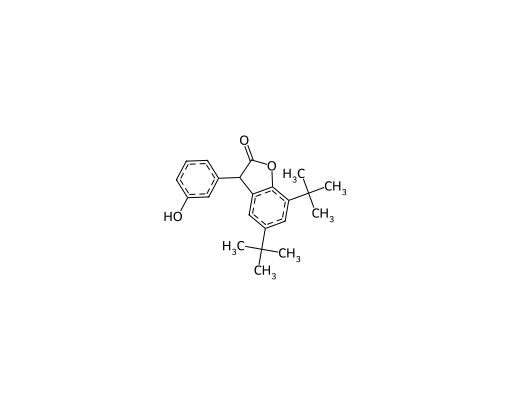 CC(C)(C)c1cc2c(c(C(C)(C)C)c1)OC(=O)C2c1cccc(O)c1